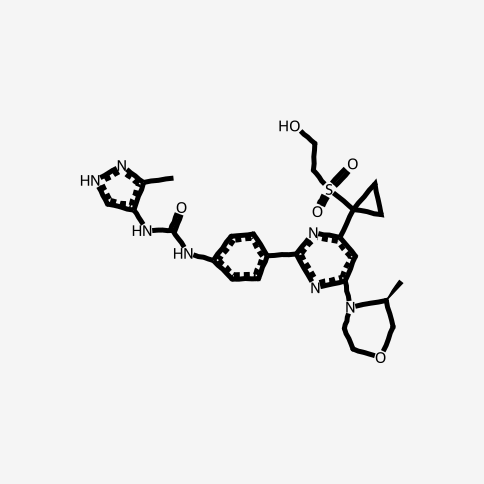 Cc1n[nH]cc1NC(=O)Nc1ccc(-c2nc(N3CCOC[C@@H]3C)cc(C3(S(=O)(=O)CCO)CC3)n2)cc1